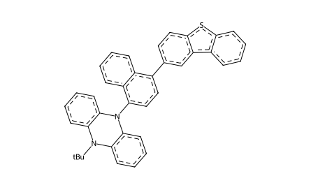 CC(C)(C)N1c2ccccc2N(c2ccc(-c3ccc4sc5ccccc5c4c3)c3ccccc23)c2ccccc21